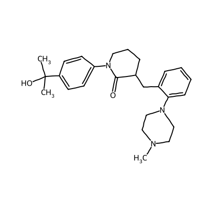 CN1CCN(c2ccccc2CC2CCCN(c3ccc(C(C)(C)O)cc3)C2=O)CC1